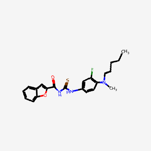 CCCCCN(C)c1ccc(NC(=S)NC(=O)c2cc3ccccc3o2)cc1F